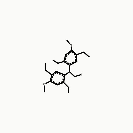 CCc1cc(C(CI)c2cc(CC)c(OC)cc2CC)c(CC)cc1OC